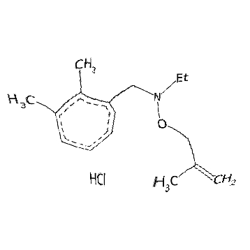 C=C(C)CON(CC)Cc1cccc(C)c1C.Cl